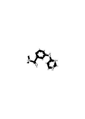 CN(C)C(=O)c1cccc(Oc2ccncn2)c1